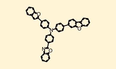 c1ccc2oc(-c3ccc(N(c4ccc(-c5ccc6c(c5)oc5ccccc56)cc4)c4ccc(-c5nc6ccccc6o5)cc4)cc3)cc2c1